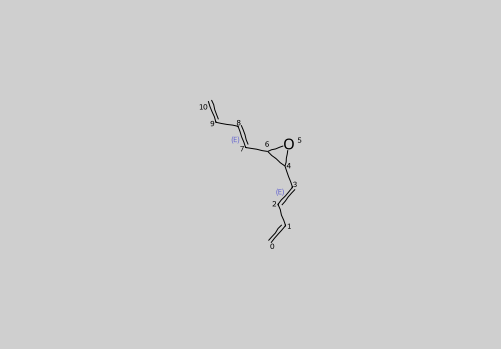 C=C/C=C/C1OC1/C=C/C=C